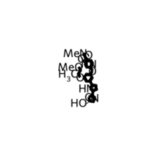 CNS(=O)(=O)c1cnc(Oc2cc(O[C@@H](C)COC)cc(-c3ccc(C4=NC[C@H](CO)O4)[nH]3)c2)cn1